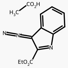 CC(=O)O.CCOC(=O)C1=Nc2ccccc2C1=[N+]=[N-]